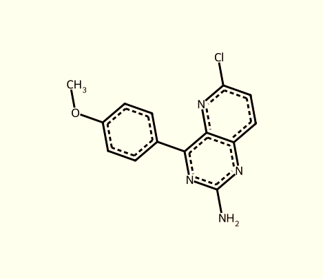 COc1ccc(-c2nc(N)nc3ccc(Cl)nc23)cc1